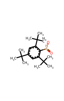 CC(C)(C)c1cc(C(C)(C)C)c([SH](=O)=O)c(C(C)(C)C)c1